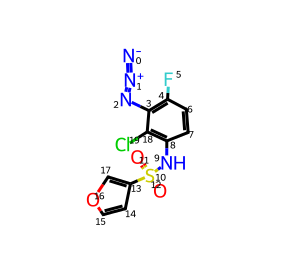 [N-]=[N+]=Nc1c(F)ccc(NS(=O)(=O)c2ccoc2)c1Cl